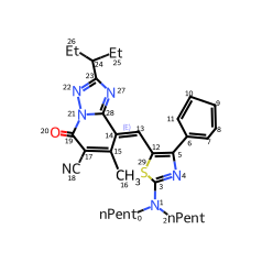 CCCCCN(CCCCC)c1nc(-c2ccccc2)c(/C=c2\c(C)c(C#N)c(=O)n3nc(C(CC)CC)nc23)s1